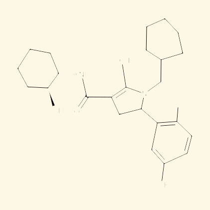 CC1=C(C(=O)N[C@H]2CCCC[C@@H]2O)CC(c2cc(C(F)(F)F)ccc2F)N1CC1CCCCC1